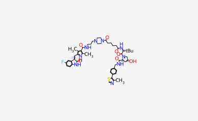 Cc1ncsc1-c1ccc(CNC(=O)[C@@H]2C[C@@H](O)CN2C(=O)[C@@H](NC(=O)CCCCC(=O)N2CCN(CCCNC(=O)c3c(C)[nH]c(/C=C4\C(=O)Nc5ccc(F)cc54)c3C)CC2)C(C)(C)C)cc1